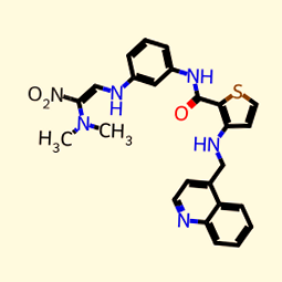 CN(C)C(=CNc1cccc(NC(=O)c2sccc2NCc2ccnc3ccccc23)c1)[N+](=O)[O-]